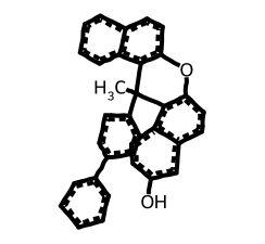 CC1(c2ccc(-c3ccccc3)cc2)c2c(ccc3ccccc23)Oc2ccc3cc(O)ccc3c21